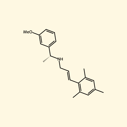 COc1cccc([C@@H](C)NCC=Cc2c(C)cc(C)cc2C)c1